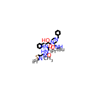 CC(C)c1nc(CN(C)C(=O)N[C@H](C(=O)N[C@@H](Cc2ccccc2)[C@@H](O)CN2CCN(Cc3ccccc3)C[C@H]2C(=O)NC(C)(C)C)C(C)C)cs1